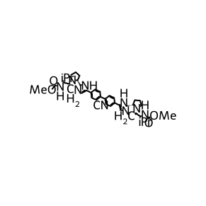 C=C([C@@H](NC(=O)OC)C(C)C)N1CCC[C@H]1c1ncc(-c2ccc(-c3ccc(-c4cnc([C@@H]5CCCN5C(=C)[C@@H](NC(=O)OC)C(C)C)[nH]4)cc3C#N)cc2)[nH]1